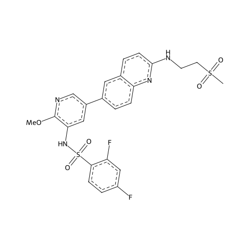 COc1ncc(-c2ccc3nc(NCCS(C)(=O)=O)ccc3c2)cc1NS(=O)(=O)c1ccc(F)cc1F